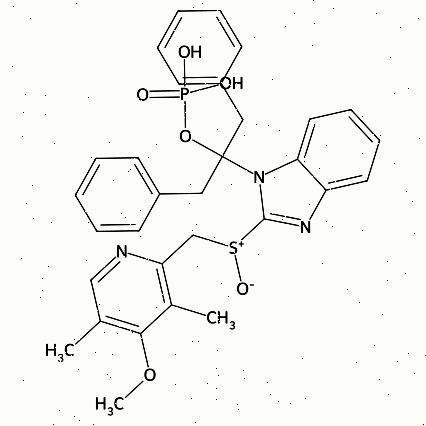 COc1c(C)cnc(C[S+]([O-])c2nc3ccccc3n2C(Cc2ccccc2)(Cc2ccccc2)OP(=O)(O)O)c1C